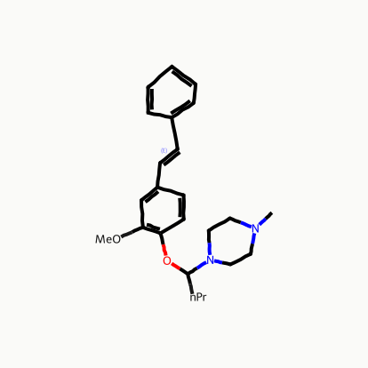 CCCC(Oc1ccc(/C=C/c2ccccc2)cc1OC)N1CCN(C)CC1